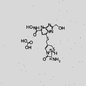 N[C@@H]1C(=O)N2C=C(CSc3cc(C(=O)NO)nc4nc(CO)nn34)CS[C@H]12.O=C(O)O